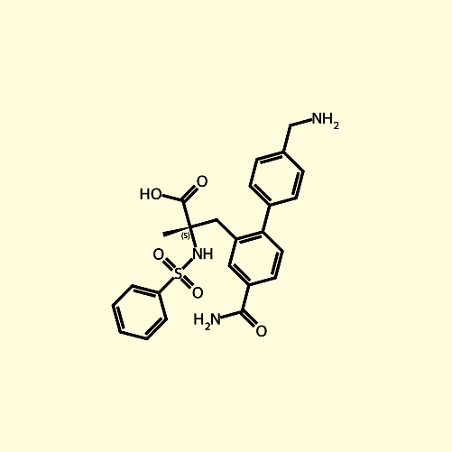 C[C@@](Cc1cc(C(N)=O)ccc1-c1ccc(CN)cc1)(NS(=O)(=O)c1ccccc1)C(=O)O